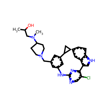 CC(O)CN(C)C1CCN(Cc2cc(Nc3ncc(Cl)c(-c4c[nH]c5ccccc45)n3)cc(C3CC3)c2)CC1